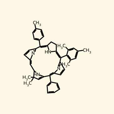 Cc1ccc(/C2=C3\CC/C(=C(\c4c(C)cc(C)cc4C)C4=N/C(=C(/c5ccccc5)C5=CC(C)(C)C(/C=C6/C=CC2=N6)N5)C=C4)N3)cc1